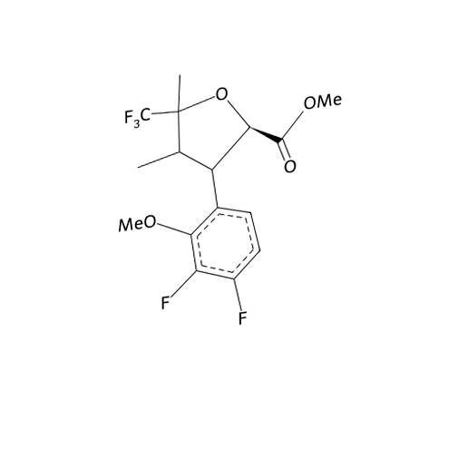 COC(=O)[C@@H]1OC(C)(C(F)(F)F)C(C)C1c1ccc(F)c(F)c1OC